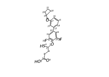 O=C(O)CCC(S)Oc1c(F)cc(-c2cccc(OC3CCC3)c2)cc1F